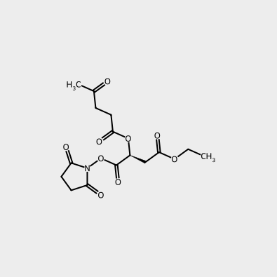 CCOC(=O)C[C@H](OC(=O)CCC(C)=O)C(=O)ON1C(=O)CCC1=O